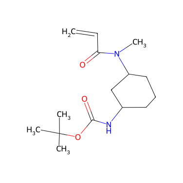 C=CC(=O)N(C)C1CCCC(NC(=O)OC(C)(C)C)C1